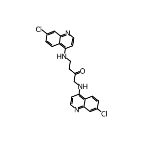 O=C(CCNc1ccnc2cc(Cl)ccc12)CNc1ccnc2cc(Cl)ccc12